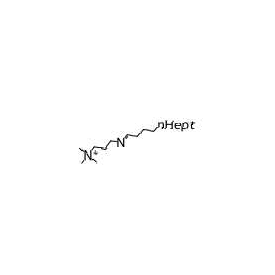 CCCCCCCCCCC=NCCC[N+](C)(C)C